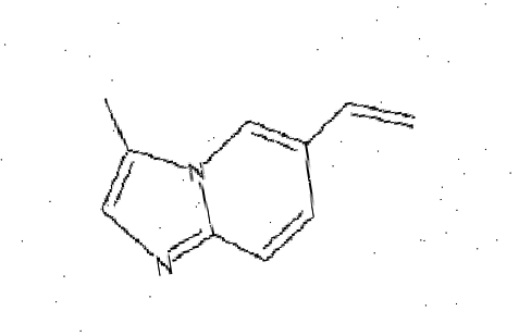 C=Cc1ccc2ncc(C)n2c1